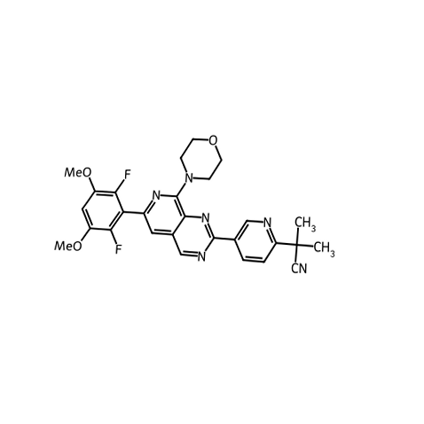 COc1cc(OC)c(F)c(-c2cc3cnc(-c4ccc(C(C)(C)C#N)nc4)nc3c(N3CCOCC3)n2)c1F